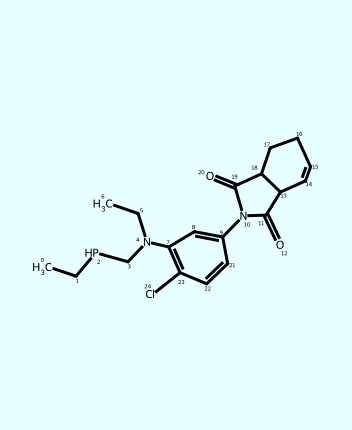 CCPCN(CC)c1cc(N2C(=O)C3C=CCCC3C2=O)ccc1Cl